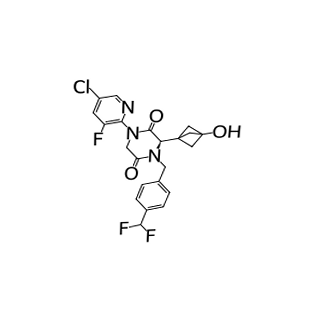 O=C1[C@@H](C23CC(O)(C2)C3)N(Cc2ccc(C(F)F)cc2)C(=O)CN1c1ncc(Cl)cc1F